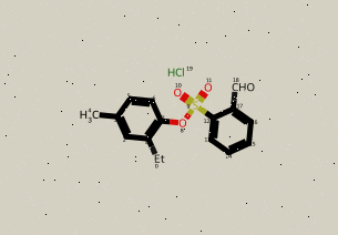 CCc1cc(C)ccc1OS(=O)(=O)c1ccccc1C=O.Cl